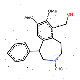 COc1cc2c(c(CO)c1OC)CCN(C=O)CC2c1ccccc1